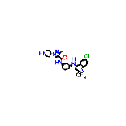 O=C(N[C@@H]1CCC[C@H](Nc2cc(C(F)(F)F)nc3ccc(Cl)cc23)C1)c1cn(C2CCNCC2)nc1I